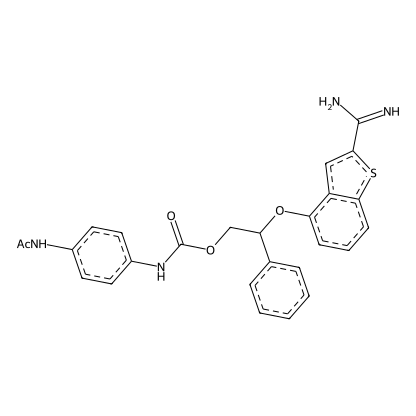 CC(=O)Nc1ccc(NC(=O)OCC(Oc2cccc3sc(C(=N)N)cc23)c2ccccc2)cc1